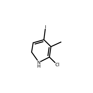 CC1=C(Cl)NCC=C1I